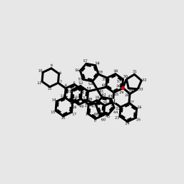 c1cc(-c2ccc(C3CCCCC3)c3ccccc23)cc(N(c2ccccc2C2CC3CCC2C3)c2cccc3c2C2(c4ccccc4-c4ccccc42)c2ccccc2-3)c1